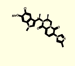 COc1cc2c(cc1Cl)c([C@@H](C)N1C(=O)c3ccc(-n4cnc(C)c4)c(=O)n3C[C@@H]1C)cn2C